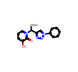 CCCCCCC(c1cn(-c2ccccc2)nn1)n1cccc(O)c1=O